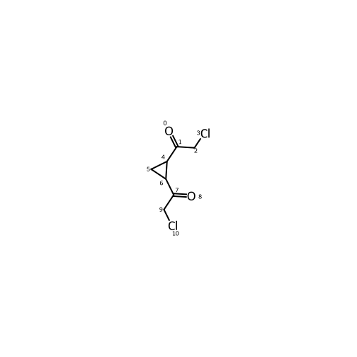 O=C(CCl)C1CC1C(=O)CCl